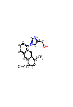 O=Cc1ccc(C(F)(F)F)c2cc3c(-n4cnc(CO)c4)cccc3cc12